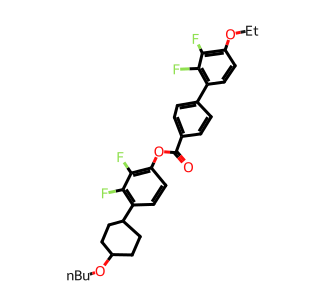 CCCCOC1CCC(c2ccc(OC(=O)c3ccc(-c4ccc(OCC)c(F)c4F)cc3)c(F)c2F)CC1